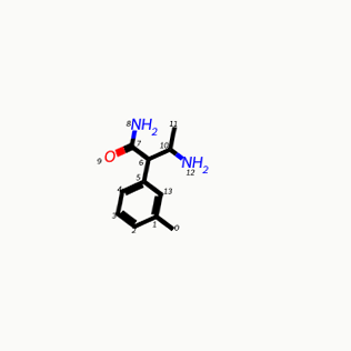 Cc1cccc(C(C(N)=O)C(C)N)c1